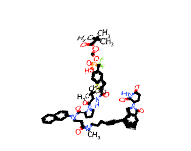 CN(CCCC#Cc1cccc2c1CN(C1CCC(=O)NC1=O)C2=O)C(=O)CCN(C(=O)[C@@H]1CCCN1C(=O)[C@@H](NC(=O)c1cc2cc(C(F)(F)P(=O)(O)OCOC(=O)C(C)(C)C)ccc2s1)C(C)(C)C)c1ccc2ccccc2c1